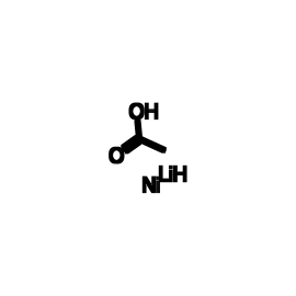 CC(=O)O.[LiH].[Ni]